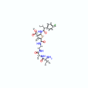 CCC(C(=O)Nc1sc(C(=O)NCCNC(=O)[C@H](C)NC(=O)[C@@H](N)C(C)C)c(C)c1C(=O)OC)c1ccc(F)cc1